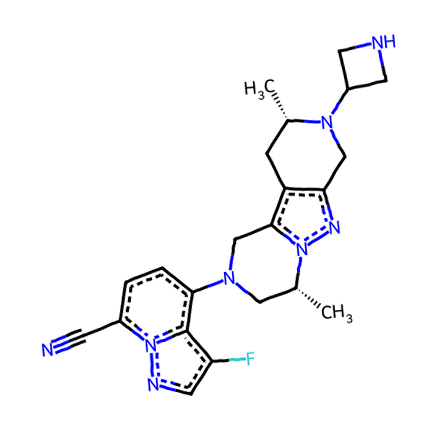 C[C@@H]1CN(c2ccc(C#N)n3ncc(F)c23)Cc2c3c(nn21)CN(C1CNC1)[C@@H](C)C3